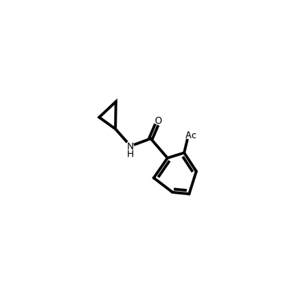 CC(=O)c1ccccc1C(=O)NC1CC1